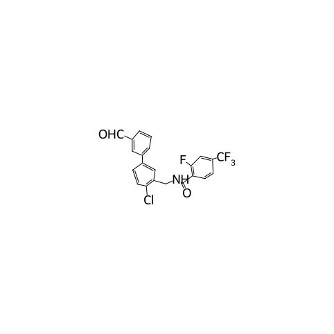 O=Cc1cccc(-c2ccc(Cl)c(CNC(=O)c3ccc(C(F)(F)F)cc3F)c2)c1